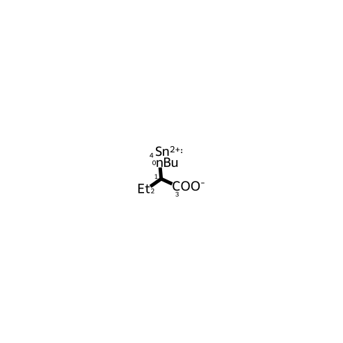 CCCCC(CC)C(=O)[O-].[Sn+2]